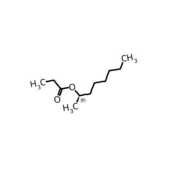 CCCCCC[C@@H](C)OC(=O)CC